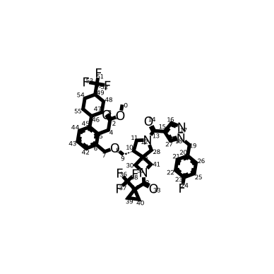 COC(=O)Cc1c(COC[C@@H]2CN(C(=O)c3cnn(Cc4ccc(F)cc4)c3)CC23CN(C(=O)C2(C(F)(F)F)CC2)C3)cccc1C1CCC(C(F)(F)F)CC1